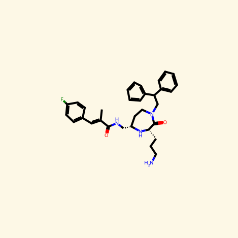 C/C(=C\c1ccc(F)cc1)C(=O)NC[C@@H]1CCN(CC(c2ccccc2)c2ccccc2)C(=O)[C@H](CCCN)N1